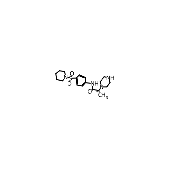 C[C@H](C(=O)Nc1ccc(S(=O)(=O)N2CCCCC2)cc1)N1CCNCC1